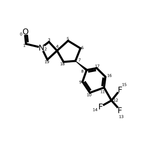 O=CN1CC2(CC[C@@H](c3ccc(C(F)(F)F)cc3)C2)C1